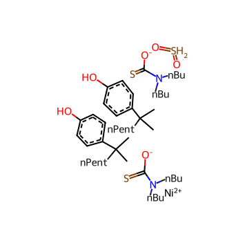 CCCCCC(C)(C)c1ccc(O)cc1.CCCCCC(C)(C)c1ccc(O)cc1.CCCCN(CCCC)C([O-])=S.CCCCN(CCCC)C([O-])=S.O=[SH2]=O.[Ni+2]